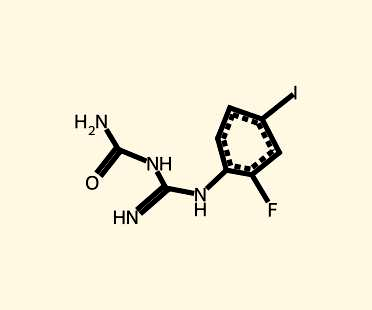 N=C(NC(N)=O)Nc1ccc(I)cc1F